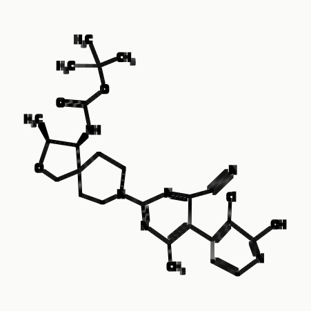 Cc1nc(N2CCC3(CC2)CO[C@@H](C)[C@H]3NC(=O)OC(C)(C)C)nc(C#N)c1-c1ccnc(O)c1Cl